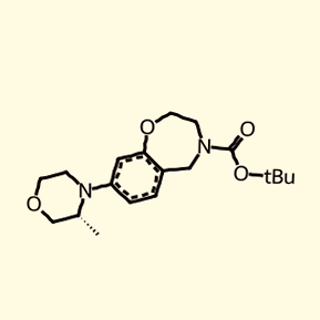 C[C@@H]1COCCN1c1ccc2c(c1)OCCN(C(=O)OC(C)(C)C)C2